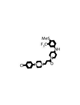 CSc1ccc(NC2CCN(C(=O)CCN3CCN(c4ccc(Cl)cc4)CC3)CC2)cc1C(F)(F)F